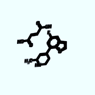 CC1C=C(c2cc(F)cc3ccoc23)CCN1.O=C(O)/C=C/C(=O)O